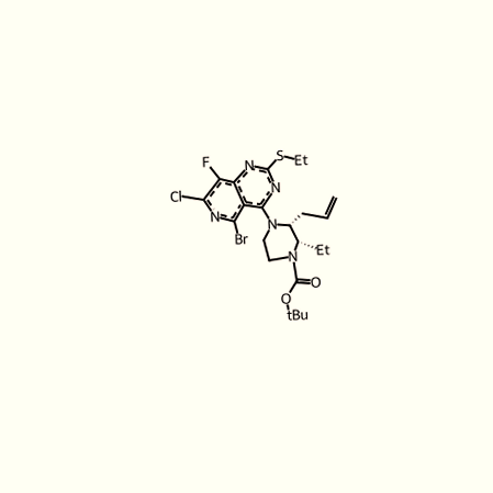 C=CC[C@@H]1[C@H](CC)N(C(=O)OC(C)(C)C)CCN1c1nc(SCC)nc2c(F)c(Cl)nc(Br)c12